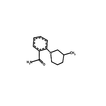 CC1CCCN(c2ccccc2C(N)=O)C1